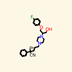 CC(C)C(C#N)(CCCN1CCN(C(CO)COc2ccc(F)cc2)CC1)c1ccccc1